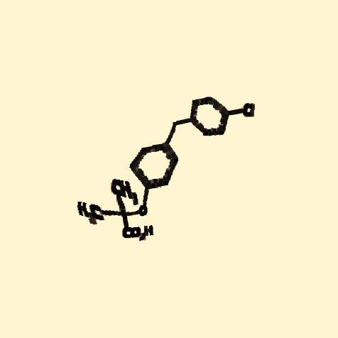 CC(C)(Oc1ccc(Cc2ccc(Cl)cc2)cc1)C(=O)O